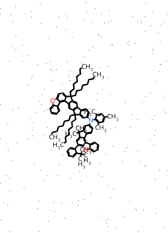 CCCCCCCCC1(CCCCCCCC)c2cc(N(c3ccc4c(c3)C(C)(C)c3cc(-c5ccccc5C(C)(C)C)c5oc6ccccc6c5c3-4)c3c(C)cc(C)cc3C)ccc2-c2cc3c(cc21)-c1c(ccc2oc4ccccc4c12)C3(CCCCCCCC)CCCCCCCC